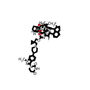 CC(C)[Si](C#Cc1c(F)ccc2cccc(-c3nc4c5c(nc(OCC6(CN7CCC(c8ccc9c(N%10CCC(=O)NC%10=O)nn(C)c9c8)CC7)CC6)nc5c3F)N3C[C@H]5CC[C@@H]([C@H]3CCO4)N5C(=O)O)c12)(C(C)C)C(C)C